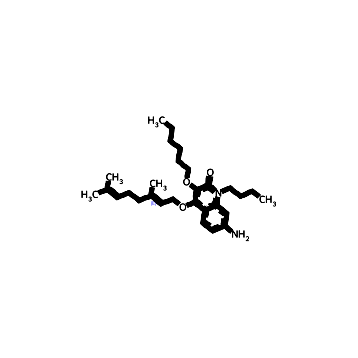 CCCCCCOc1c(OC/C=C(\C)CCC=C(C)C)c2ccc(N)cc2n(CCCC)c1=O